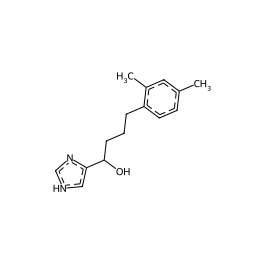 Cc1ccc(CCCC(O)c2c[nH]cn2)c(C)c1